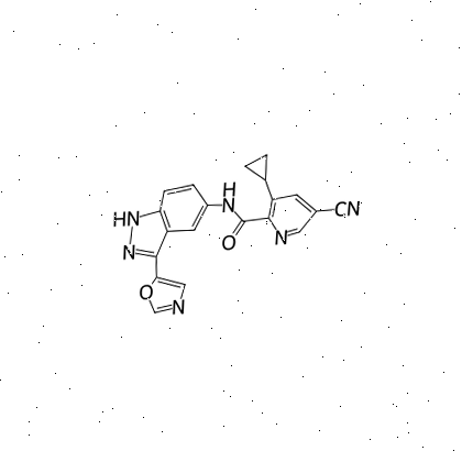 N#Cc1cnc(C(=O)Nc2ccc3[nH]nc(-c4cnco4)c3c2)c(C2CC2)c1